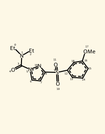 CCN(CC)C(=O)n1ccc(S(=O)(=O)c2cccc(OC)c2)n1